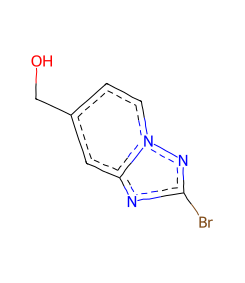 OCc1ccn2nc(Br)nc2c1